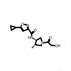 C[C@@H]1CN(C(=O)CO)C[C@@H]1NC(=O)c1cc(C2CC2)on1